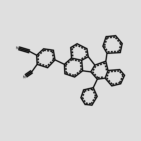 N#Cc1ccc(-c2ccc3c4c(cccc24)-c2c-3c(-c3ccccc3)c3ccccc3c2-c2ccccc2)cc1C#N